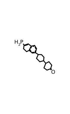 O=C1CCC(C2CCC(c3ccc4c(c3)CCC(P)=C4)CC2)CC1